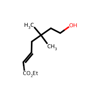 CCOC(=O)C=CCC(C)(C)CCO